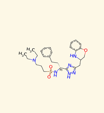 CCN(CC)CCCS(=O)(=O)N[C@H](CCc1ccccc1)c1nc(CC2COc3ccccc3N2)n[nH]1